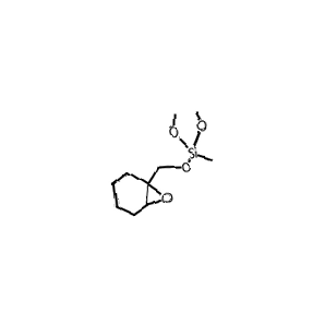 CO[Si](C)(OC)OCC12CCCCC1O2